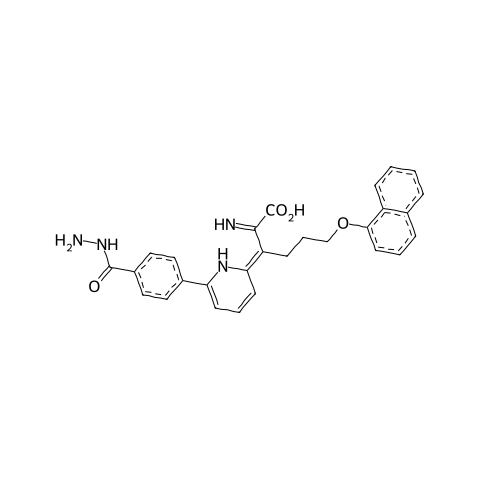 N=C(C(=O)O)/C(CCCOc1cccc2ccccc12)=C1/C=CC=C(c2ccc(C(=O)NN)cc2)N1